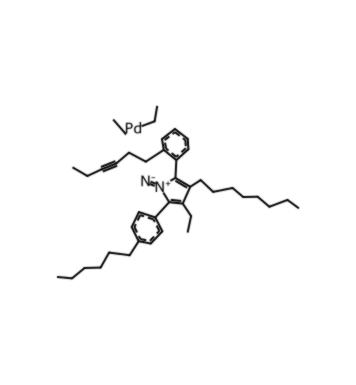 CCC#CCCc1ccccc1C1=C(CCCCCCCC)C(CC)=C(c2ccc(CCCCCC)cc2)[N+]1=[N-].C[CH2][Pd][CH2]C